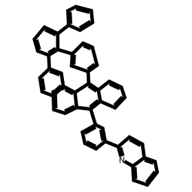 c1ccc(-c2cccc(-c3ccccc3)c2-c2cccc(-c3c4ccccc4c(-c4cccc(-c5ccc6ccccc6n5)c4)c4ccccc34)c2)cc1